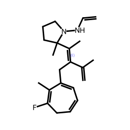 C=CNN1CCCC1(C)/C(C)=C(\CC1=CC=CCC(F)=C1C)C(=C)C